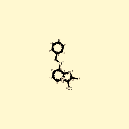 CCc1c(C)nc2c(OCc3ccccc3)cccn12